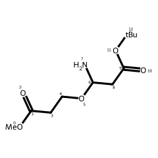 COC(=O)CCOC(N)CC(=O)OC(C)(C)C